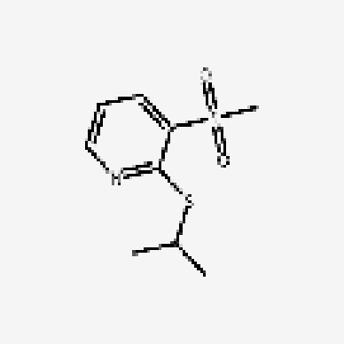 CC(C)Sc1ncccc1S(C)(=O)=O